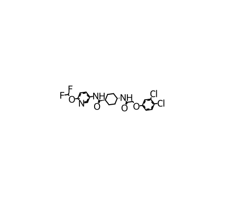 O=C(COc1ccc(Cl)c(Cl)c1)N[C@H]1CC[C@H](C(=O)Nc2ccc(OC(F)F)nc2)CC1